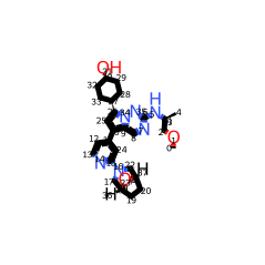 COC[C@H](C)Nc1ncc2c(-c3ccnc(N4C[C@H]5CC[C@@H](C4)O5)c3)cc([C@H]3CC[C@H](O)CC3)n2n1